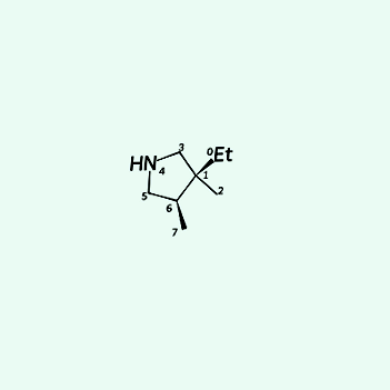 CC[C@]1(C)CNC[C@@H]1C